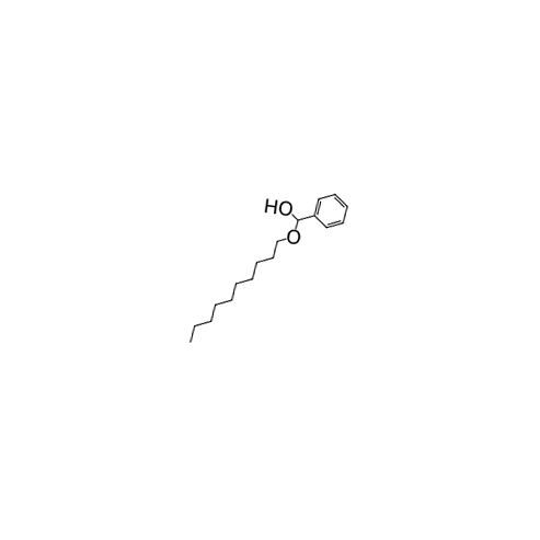 CCCCCCCCCCOC(O)c1ccccc1